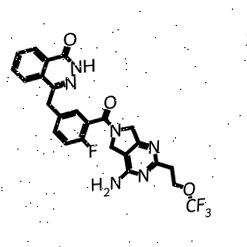 Nc1nc(CCOC(F)(F)F)nc2c1CN(C(=O)c1cc(Cc3n[nH]c(=O)c4ccccc34)ccc1F)C2